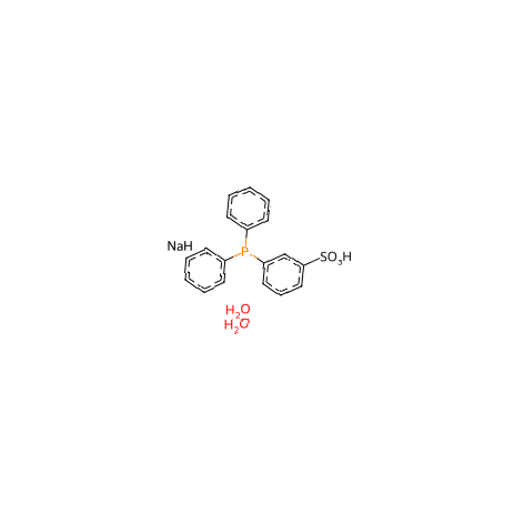 O.O.O=S(=O)(O)c1cccc(P(c2ccccc2)c2ccccc2)c1.[NaH]